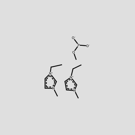 CC[n+]1ccn(C)c1.CC[n+]1ccn(C)c1.COP([O-])[O-]